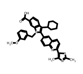 COc1cccc(Cn2c(-c3ccc4nc(-c5sc(C)nc5C)ccc4c3)c(C3CCCCC3)c3ccc(C(=O)O)cc32)c1